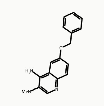 CNc1cnc2ccc(OCc3ccccc3)cc2c1N